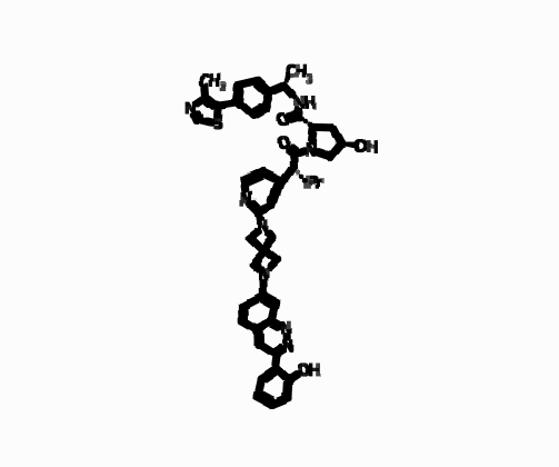 Cc1ncsc1-c1ccc([C@H](C)NC(=O)[C@@H]2C[C@@H](O)CN2C(=O)[C@@H](c2ccnc(N3CC4(CN(c5ccc6cc(-c7ccccc7O)nnc6c5)C4)C3)c2)C(C)C)cc1